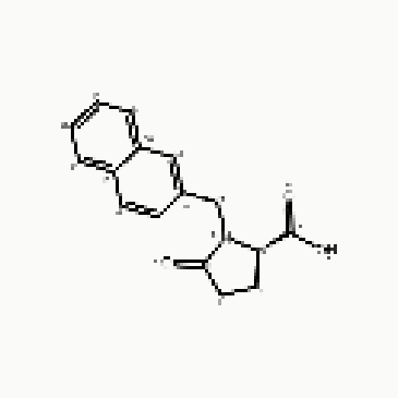 O=C(O)[C@H]1CCC(=O)N1Cc1ccc2ccccc2c1